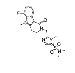 Cc1c(CN2CCc3c(c4cccc(F)c4n3C)C2=O)ncn1S(=O)(=O)N(C)C